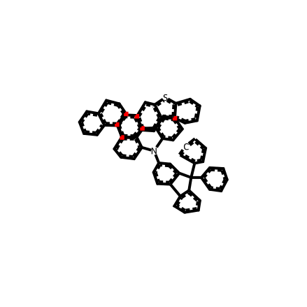 c1ccc(-c2ccccc2N(c2ccc3c(c2)C(c2ccccc2)(c2ccccc2)c2ccccc2-3)c2cccc(-c3cccc4ccccc34)c2-c2ccc3sc4ccccc4c3c2)cc1